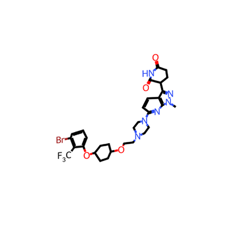 Cn1nc(C2CCC(=O)NC2=O)c2ccc(N3CCN(CCOC4CCC(Oc5cccc(Br)c5C(F)(F)F)CC4)CC3)nc21